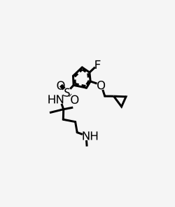 CNCCCC(C)(C)NS(=O)(=O)c1ccc(F)c(OCC2CC2)c1